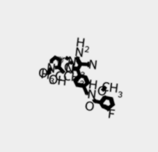 COc1ccc(F)cc1C(=O)NCc1ccc(-c2nn(C[C@H]3CCN(C(=O)O)C3C(C)(C)C)c(N)c2C#N)cc1